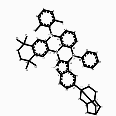 Cc1cccc(C)c1N1c2cc3c(cc2B2c4sc5ccc(C67CCC8CC(CC8C6)C7)cc5c4N(c4ccccc4)c4cccc1c42)C(C)(C)CCC3(C)C